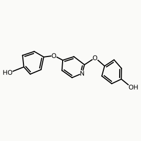 Oc1ccc(Oc2ccnc(Oc3ccc(O)cc3)c2)cc1